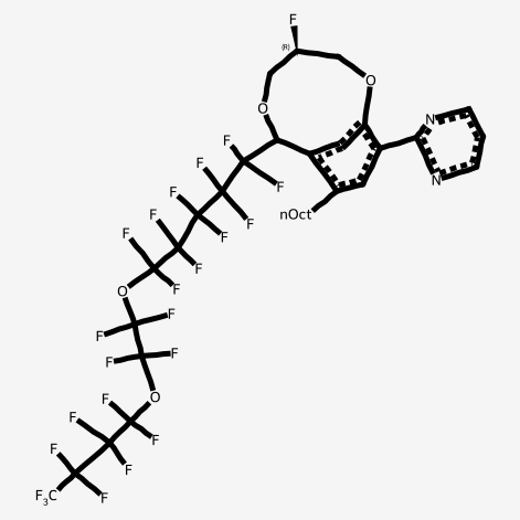 CCCCCCCCc1cc(-c2ncccn2)c2cc1C(C(F)(F)C(F)(F)C(F)(F)C(F)(F)C(F)(F)OC(F)(F)C(F)(F)OC(F)(F)C(F)(F)C(F)(F)C(F)(F)F)OC[C@@H](F)CO2